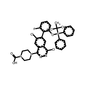 CC(C)(C)[Si](Oc1cccc(F)c1-c1cc2c(Cl)nnc(N3CCN(C(=O)O)CC3)c2cc1Cl)(c1ccccc1)c1ccccc1